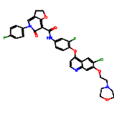 O=C(Nc1ccc(Oc2ccnc3cc(OCCN4CCOCC4)c(Cl)cc23)c(F)c1)c1c2c(cn(-c3ccc(F)cc3)c1=O)CCO2